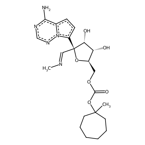 CN=C[C@@]1(c2ccc3c(N)ncnn23)O[C@H](COC(=O)OC2(C)CCCCCC2)[C@@H](O)[C@H]1O